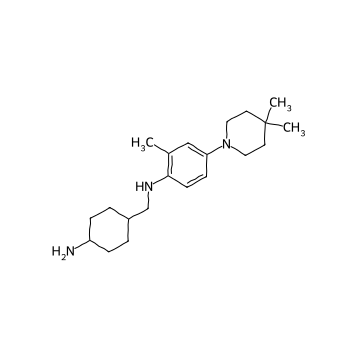 Cc1cc(N2CCC(C)(C)CC2)ccc1NCC1CCC(N)CC1